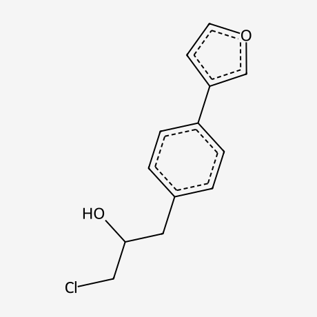 OC(CCl)Cc1ccc(-c2ccoc2)cc1